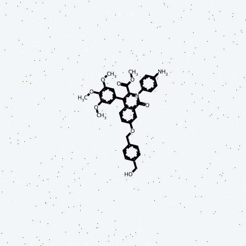 COC(=O)c1c(-c2cc(OC)c(OC)c(OC)c2)c2ccc(OCc3ccc(CO)cc3)cc2c(=O)n1-c1ccc(N)cc1